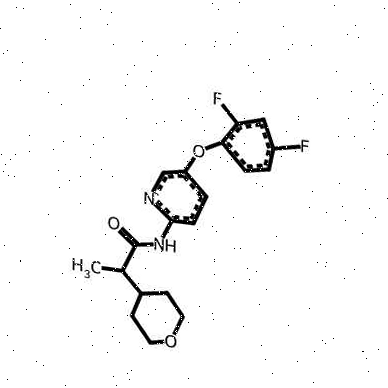 CC(C(=O)Nc1ccc(Oc2ccc(F)cc2F)cn1)C1CCOCC1